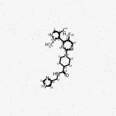 Cc1cnn(C)c1-c1nc(N2CCC(C(=O)NCc3cscn3)CC2)ncc1F